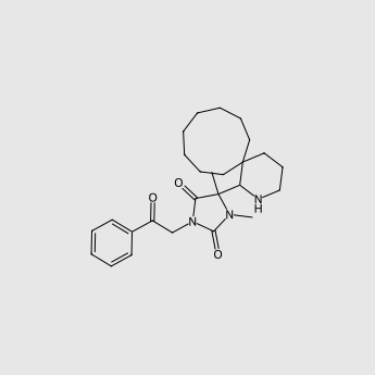 CN1C(=O)N(CC(=O)c2ccccc2)C(=O)C1(C)C1NCCCC12CCCCCCCC2